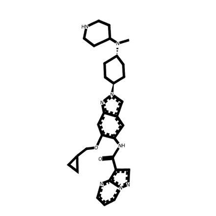 CN(C1CCNCC1)[C@H]1CC[C@H](n2cc3cc(NC(=O)c4cnn5cccnc45)c(OCC4CC4)cc3n2)CC1